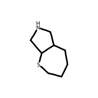 C1CCC2CNCC2SC1